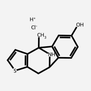 CC12NC(Cc3sccc31)c1ccc(O)cc12.[Cl-].[H+]